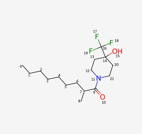 CCCCCCCC(C)C(=O)N1CCC(O)(C(F)(F)F)CC1